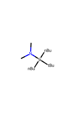 CCCC[Si](CCCC)(N(C)C)C(C)(C)C